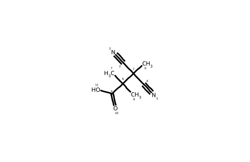 CC(C#N)(C#N)C(C)(C)C(=O)O